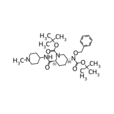 CN1CCC(NC(=O)[C@@H]2CC[C@@H](N(OCc3ccccc3)C(=O)OC(C)(C)C)CN2C(=O)OC(C)(C)C)CC1